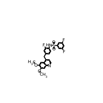 COc1cc2nccc(Cc3ccc(NS(=O)(=O)c4cc(F)cc(F)c4)c(F)c3)c2cc1OC